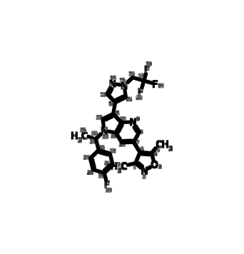 Cc1noc(C)c1-c1cnc2c(-c3cnn(CC(F)(F)F)c3)cn([C@H](C)c3ccc(F)cc3)c2c1